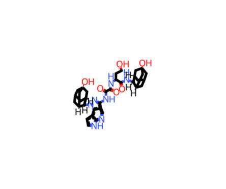 O=C(Nc1nn([C@H]2[C@@H]3CC4C[C@H]2C[C@@](O)(C4)C3)c2c1cnc1[nH]ccc12)C(=O)NC(CCO)C(=O)N[C@H]1[C@@H]2CC3C[C@H]1C[C@@](O)(C3)C2